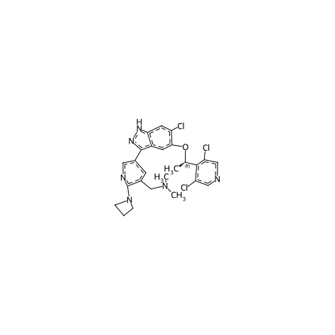 C[C@@H](Oc1cc2c(-c3cnc(N4CCC4)c(CN(C)C)c3)n[nH]c2cc1Cl)c1c(Cl)cncc1Cl